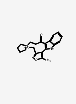 CCc1noc(C)c1-c1[nH]c2ccccc2c1C(=O)CCN1CCCC1